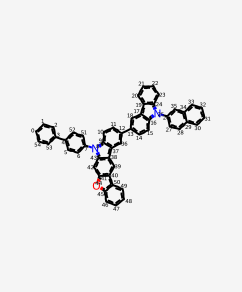 c1ccc(-c2ccc(-n3c4ccc(-c5ccc6c(c5)c5ccccc5n6-c5ccc6ccccc6c5)cc4c4cc5c(cc43)oc3ccccc35)cc2)cc1